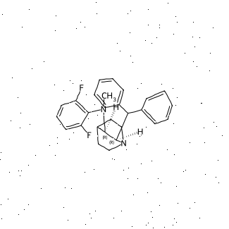 CN(c1c(F)cccc1F)[C@@H]1C2CCN(CC2)[C@@H]1C(c1ccccc1)c1ccccc1